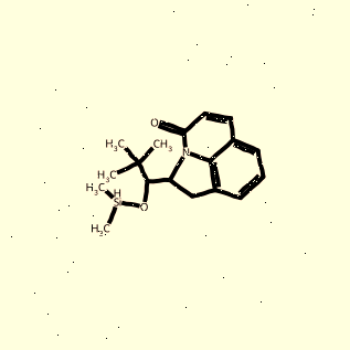 C[SiH](C)OC(C1Cc2cccc3ccc(=O)n1c23)C(C)(C)C